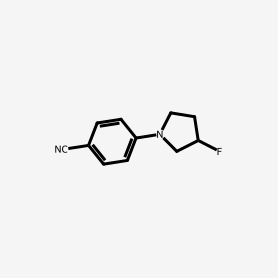 N#Cc1ccc(N2CCC(F)C2)cc1